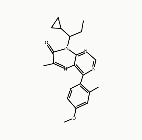 CCC(C1CC1)n1c(=O)c(C)nc2c(-c3ccc(OC)cc3C)ncnc21